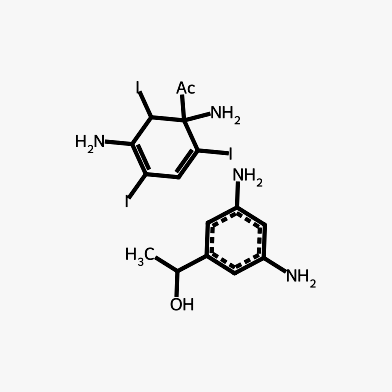 CC(=O)C1(N)C(I)=CC(I)=C(N)C1I.CC(O)c1cc(N)cc(N)c1